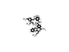 CCC[C@@H]1N=C(C)c2ccc(C(O)Nc3ccc(C)c(NCc4cnc(N)nc4N(C)C=O)c3)cc2N(Cc2ccccc2)C1=O